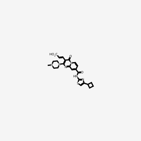 CN1CCN(c2nc3cc(C(=O)Nc4nc(C5CCC5)cs4)ccn3c(=O)c2/C=C/C(=O)O)CC1